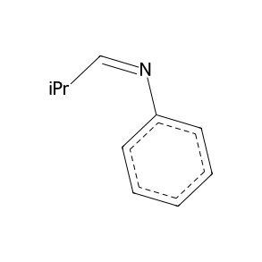 CC(C)/C=N\c1ccccc1